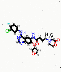 C[C@H]1C(=O)OCCN1C/C=C/C(=O)Nc1cc2c(Nc3ccc(F)c(Cl)c3)ncnc2cc1O[C@@H]1CCOC1